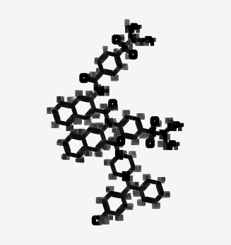 CCCN(CCC)S(=O)(=O)c1ccc(C(=O)Nc2cc3ccccc3cc2C(=O)N(c2ccc(S(=O)(=O)N(CCC)CCC)cc2)c2cc3ccccc3cc2C(=O)N2CCN(C(c3ccccc3)c3ccc(Cl)cc3)CC2)cc1